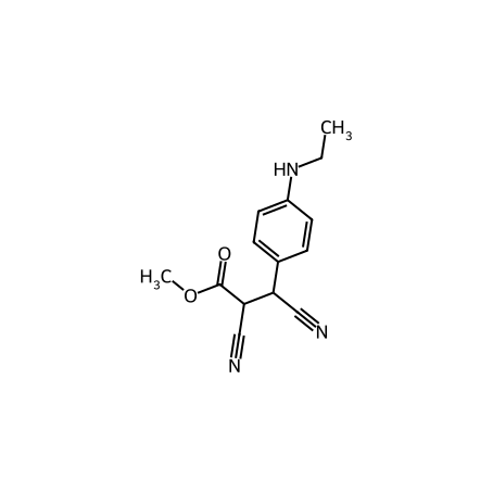 CCNc1ccc(C(C#N)C(C#N)C(=O)OC)cc1